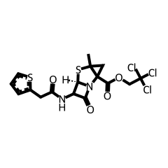 CC12CC1(C(=O)OCC(Cl)(Cl)Cl)N1C(=O)C(NC(=O)Cc3cccs3)[C@H]1S2